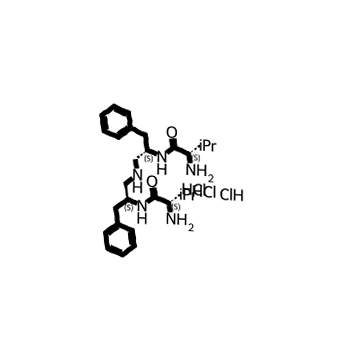 CC(C)[C@H](N)C(=O)N[C@H](CNC[C@H](Cc1ccccc1)NC(=O)[C@@H](N)C(C)C)Cc1ccccc1.Cl.Cl.Cl